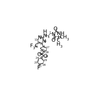 CC1(C)NC(=O)N(CCNc2ncc(C(F)(F)F)c(-c3ccc(S(=O)(=O)c4ccc(F)cc4)s3)n2)C1=O